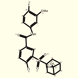 COc1cc(NC(=O)c2ccc(Cl)c(S(=O)(=O)C3CC4CC(C3)C4(C)O)c2)ccc1F